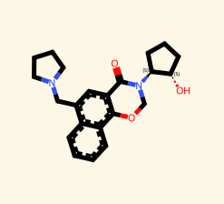 O=C1c2cc(CN3CCCC3)c3ccccc3c2OCN1[C@H]1CCC[C@@H]1O